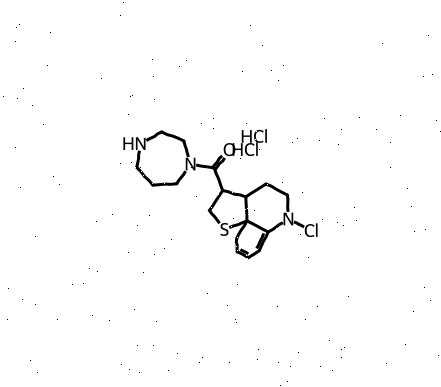 Cl.Cl.O=C(C1CSC23CC=CC=C2N(Cl)CCC13)N1CCCNCC1